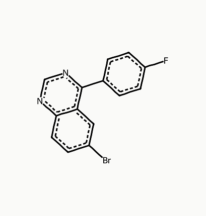 Fc1ccc(-c2ncnc3ccc(Br)cc23)cc1